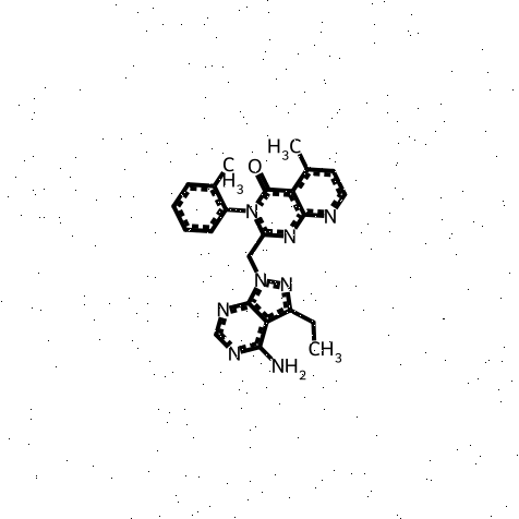 CCc1nn(Cc2nc3nccc(C)c3c(=O)n2-c2ccccc2C)c2ncnc(N)c12